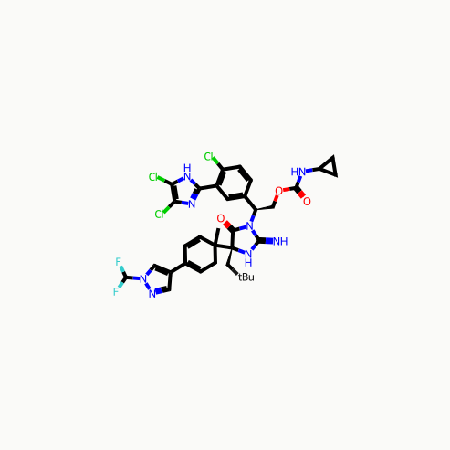 CC(C)(C)C[C@]1(C2(C)C=CC(c3cnn(C(F)F)c3)=CC2)NC(=N)N([C@H](COC(=O)NC2CC2)c2ccc(Cl)c(-c3nc(Cl)c(Cl)[nH]3)c2)C1=O